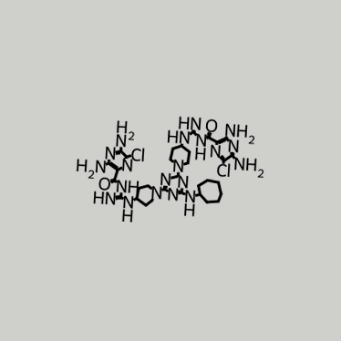 N=C(NC(=O)c1nc(Cl)c(N)nc1N)NC1CCN(c2nc(NC3CCCCCC3)nc(N3CCC(NC(=N)NC(=O)c4nc(Cl)c(N)nc4N)CC3)n2)CC1